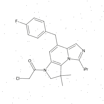 CC(C)c1ncc2c(Cc3ccc(F)cc3)cc3c(n12)C(C)(C)CN3C(=O)CCl